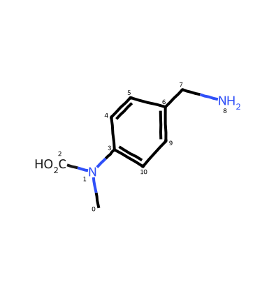 CN(C(=O)O)c1ccc(CN)cc1